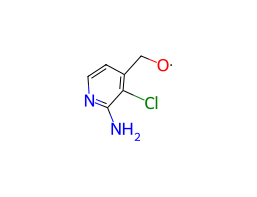 Nc1nccc(C[O])c1Cl